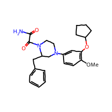 COc1ccc(N2CCN(C(=O)C(N)=O)C(Cc3ccccc3)C2)cc1OC1CCCC1